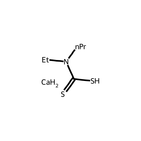 CCCN(CC)C(=S)S.[CaH2]